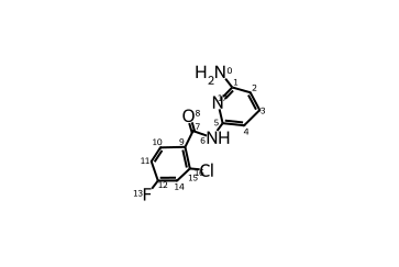 Nc1cccc(NC(=O)c2ccc(F)cc2Cl)n1